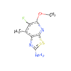 COc1nc2sc(N)nc2c(C)c1F